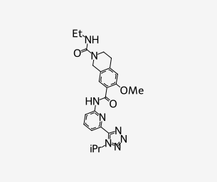 CCNC(=O)N1CCc2cc(OC)c(C(=O)Nc3cccc(-c4nnnn4C(C)C)n3)cc2C1